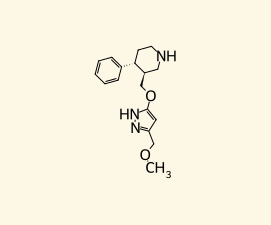 COCc1cc(OC[C@@H]2CNCC[C@H]2c2ccccc2)[nH]n1